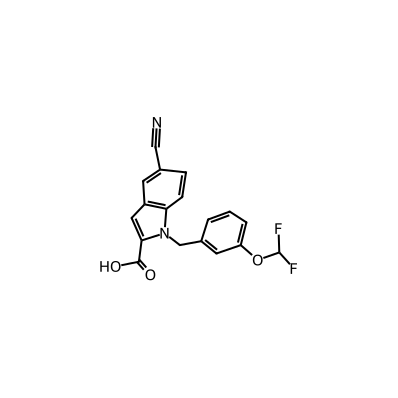 N#Cc1ccc2c(c1)cc(C(=O)O)n2Cc1cccc(OC(F)F)c1